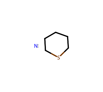 C1CCSCC1.[N]